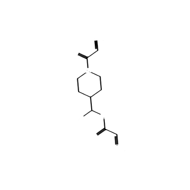 C=CC(=O)OC(C)C1CCN(C(=O)C=C)CC1